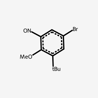 COc1c(N=O)cc(Br)cc1C(C)(C)C